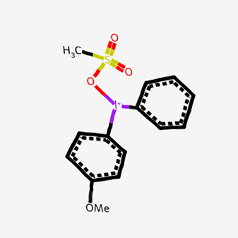 COc1ccc([I+](OS(C)(=O)=O)c2ccccc2)cc1